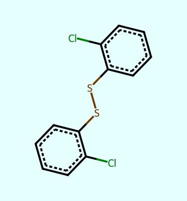 Clc1ccccc1SSc1ccccc1Cl